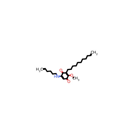 C=CCCCCCCCCCC1=C(OC)C(=O)C=C(NCCCCC=C)C1=O